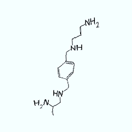 CC(N)CNCc1ccc(CNCCCN)cc1